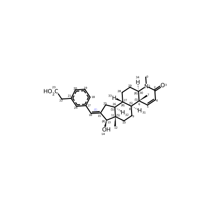 CN1C(=O)C=C[C@]2(C)[C@H]3CC[C@]4(C)[C@@H](O)/C(=C/c5cccc(CC(=O)O)c5)C[C@H]4[C@@H]3CC[C@@H]12